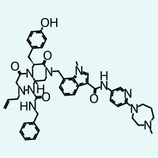 C=CCN1CC(=O)N2[C@@H](Cc3ccc(O)cc3)C(=O)N(Cc3cccc4c(C(=O)Nc5ccc(N6CCCN(C)CC6)nc5)cn(C)c34)C[C@@H]2N1C(=O)NCc1ccccc1